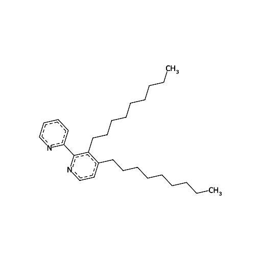 CCCCCCCCCc1ccnc(-c2ccccn2)c1CCCCCCCCC